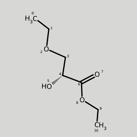 CCOC[C@@H](O)C(=O)OCC